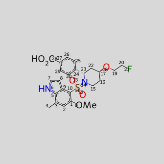 COc1cc(C)c2[nH]ccc2c1S(=O)(=O)N1CC[C@H](OCCF)C[C@H]1c1ccc(C(=O)O)cc1